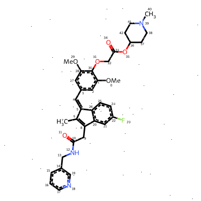 COc1cc(/C=C2/C(C)=C(CC(=O)NCc3cccnc3)c3cc(F)ccc32)cc(OC)c1OCC(=O)OC1CCN(C)CC1